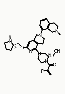 C=C(F)C(=O)N1CCN(c2nc(OC[C@@H]3CCCN3C)cc3c2CCN(c2cccc4c2CN(C)CC4)C3)C[C@@H]1CC#N